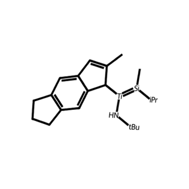 CC1=Cc2cc3c(cc2[CH]1[Ti]([NH]C(C)(C)C)=[Si](C)C(C)C)CCC3